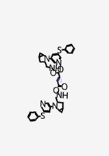 O=C(/C=C/C(=O)ONCC1CC2CC2N1c1cncc(Sc2ccccc2)c1)ONCC1CC2CC2N1c1cncc(Sc2ccccc2)c1